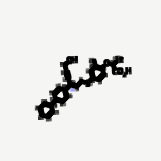 CCC(Oc1ccc(SC/C=C(\C#CCO)c2ccc(-c3ccccc3)cc2)cc1C)C(=O)O